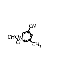 Cc1cncc(C#N)c1.O=CCl